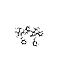 CC(=O)C1=C(O)C(=O)N(CCc2ccccc2)C1c1ccc2c(c1)OCO2.CC(=O)C1=C(O)C(=O)N(CCc2ccccc2)C1c1cccnc1